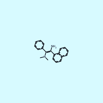 CN(C)C(=C(N)c1cccc2ccccc12)c1cc[c]cc1